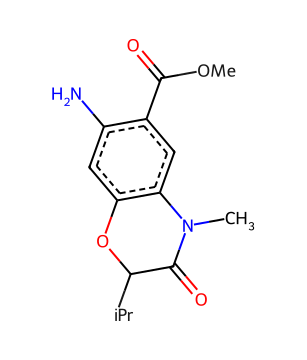 COC(=O)c1cc2c(cc1N)OC(C(C)C)C(=O)N2C